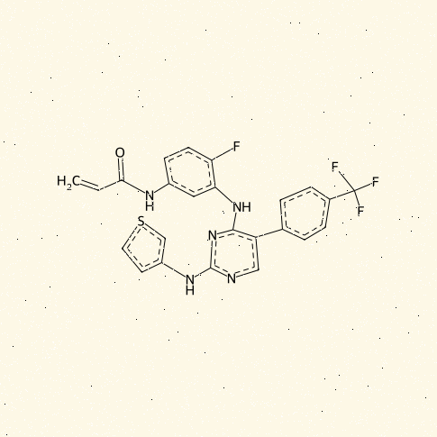 C=CC(=O)Nc1ccc(F)c(Nc2nc(Nc3ccsc3)ncc2-c2ccc(C(F)(F)F)cc2)c1